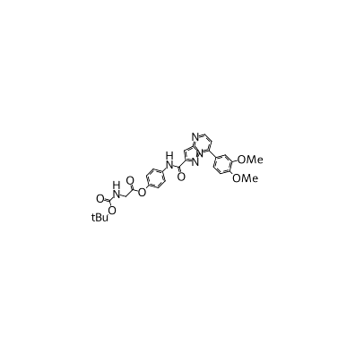 COc1ccc(-c2ccnc3cc(C(=O)Nc4ccc(OC(=O)CNC(=O)OC(C)(C)C)cc4)nn23)cc1OC